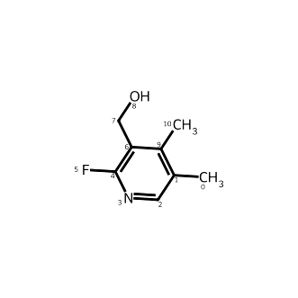 Cc1cnc(F)c(CO)c1C